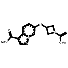 C=C(OC)N1CC(Oc2ccc3c(C(=O)OC)cnn3c2)C1